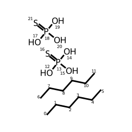 CCCCCC.CCCCCC.OP(O)(O)=S.OP(O)(O)=S